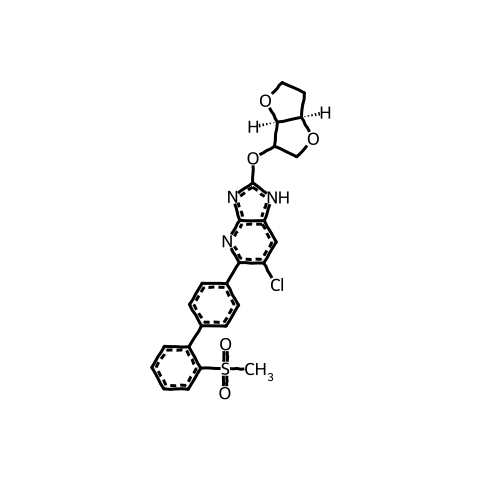 CS(=O)(=O)c1ccccc1-c1ccc(-c2nc3nc(OC4CO[C@@H]5CCO[C@H]45)[nH]c3cc2Cl)cc1